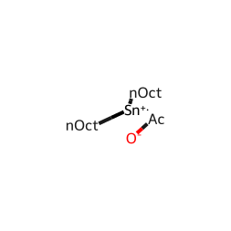 CC(=O)[O-].CCCCCCC[CH2][Sn+][CH2]CCCCCCC